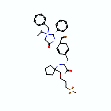 CC(=O)[N+]1(Cc2ccccc2)CC(=O)N([C@@]2(C=S)C=CC(C[C@H](NC3(CCCCS(C)(=O)=O)CCCC3)C(=O)O)=CC2)[C@@H]1c1ccccc1